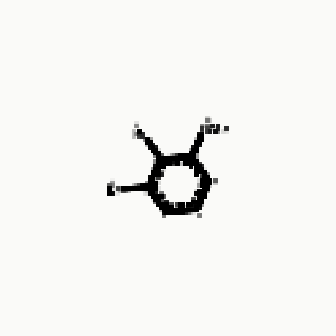 COc1cccc(Br)c1Br